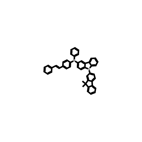 CC1(C)c2ccccc2-c2ccc(-n3c4ccccc4c4cc(N(c5ccccc5)c5ccc(/C=C/c6ccccc6)cc5)ccc43)cc21